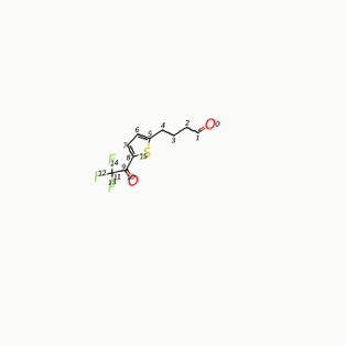 O=CCCCc1ccc(C(=O)C(F)(F)F)s1